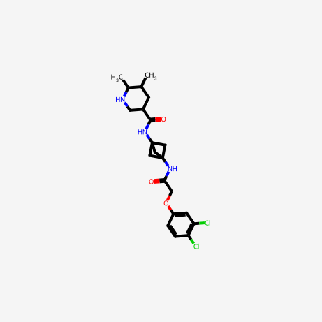 CC1CC(C(=O)NC23CC(NC(=O)COc4ccc(Cl)c(Cl)c4)(C2)C3)CNC1C